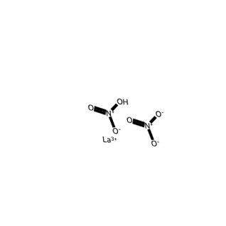 O=[N+]([O-])O.O=[N+]([O-])[O-].[La+3]